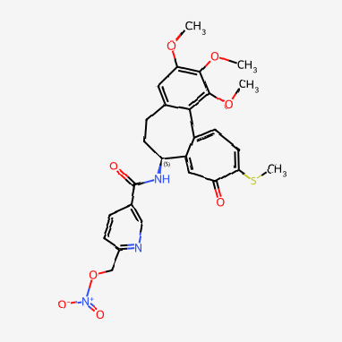 COc1cc2c(c(OC)c1OC)-c1ccc(SC)c(=O)cc1[C@@H](NC(=O)c1ccc(CO[N+](=O)[O-])nc1)CC2